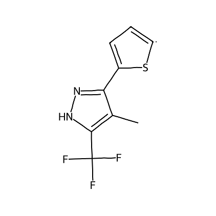 Cc1c(-c2cc[c]s2)n[nH]c1C(F)(F)F